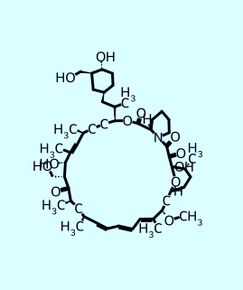 CO[C@H]1C[C@@H]2CC[C@@H](C)[C@@](O)(O2)C(=O)C(=O)N2CCCC[C@H]2C(=O)O[C@H](C(C)C[C@@H]2CC[C@@H](O)[C@H](CO)C2)CC[C@H](C)/C=C(\C)[C@@H](O)[C@@H](CO)C(=O)[C@H](C)C[C@H](C)/C=C/C=C/C=C/1C